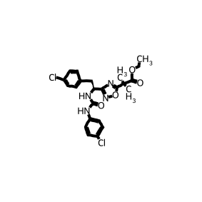 CCOC(=O)C(C)(C)c1nc([C@H](Cc2ccc(Cl)cc2)NC(=O)Nc2ccc(Cl)cc2)no1